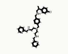 CC(CNCc1ccc(CN(CCNCc2ccccn2)CCNCc2ccccn2)cc1)c1ccc(Cl)cc1